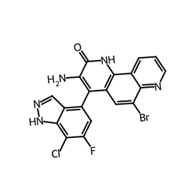 Nc1c(-c2cc(F)c(Cl)c3[nH]ncc23)c2cc(Br)c3ncccc3c2[nH]c1=O